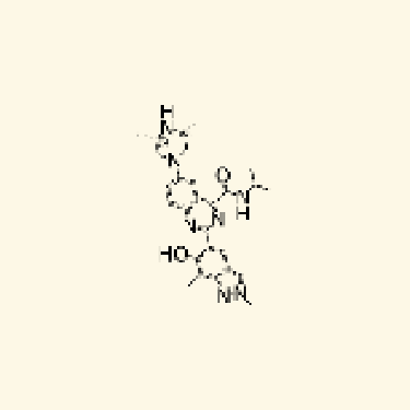 Cc1c(O)c(-c2nc(C(=O)NC(C)C)c3cc(N4C[C@@H](C)N[C@@H](C)C4)ccc3n2)cc2cn(C)nc12